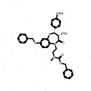 COc1ccc([C@H]2Sc3cc(OCc4ccccc4)ccc3N(CCN(C)C(=O)OCc3ccccc3)C(=O)[C@H]2OC(C)=O)cc1